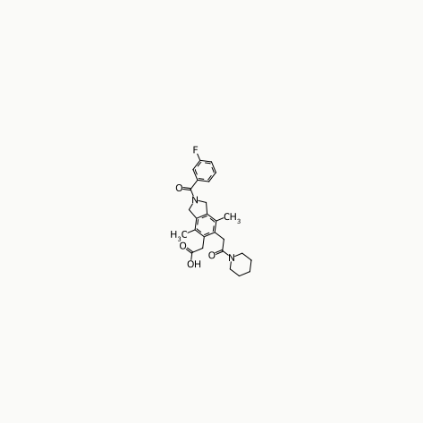 Cc1c(CC(=O)O)c(CC(=O)N2CCCCC2)c(C)c2c1CN(C(=O)c1cccc(F)c1)C2